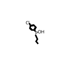 CCCCP(O)c1ccc(Cl)cc1